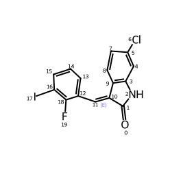 O=C1Nc2cc(Cl)ccc2/C1=C\c1cccc(I)c1F